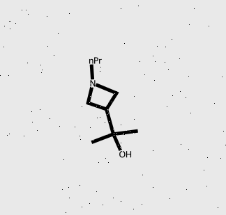 CCCN1CC(C(C)(C)O)C1